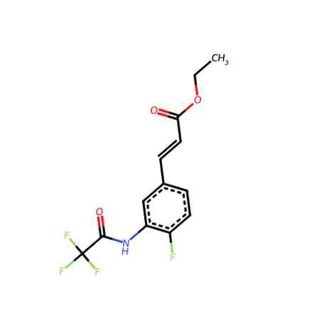 CCOC(=O)C=Cc1ccc(F)c(NC(=O)C(F)(F)F)c1